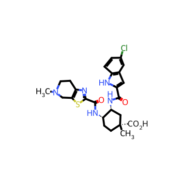 CN1CCc2nc(C(=O)N[C@H]3CC[C@@](C)(C(=O)O)C[C@H]3NC(=O)c3cc4cc(Cl)ccc4[nH]3)sc2C1